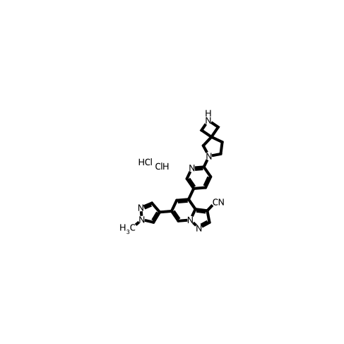 Cl.Cl.Cn1cc(-c2cc(-c3ccc(N4CCC5(CNC5)C4)nc3)c3c(C#N)cnn3c2)cn1